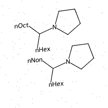 CCCCCCCCC(CCCCCC)N1CCCC1.CCCCCCCCCC(CCCCCC)N1CCCC1